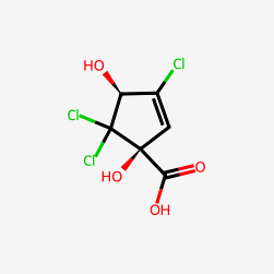 O=C(O)[C@@]1(O)C=C(Cl)[C@H](O)C1(Cl)Cl